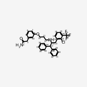 NC(=O)Cc1cccc(OCCCNC(Cc2cccc(C(F)(F)F)c2Cl)C(c2ccccc2)c2ccccc2)c1